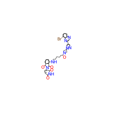 O=C1CCC(N2C(=O)c3cccc(NCCCCCC(=O)N4CC(n5cc(-c6cnc7cccc(Br)c7n6)cn5)C4)c3C2=O)C(=O)N1